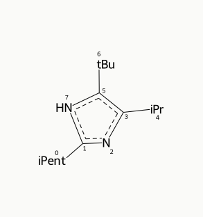 CCCC(C)c1nc(C(C)C)c(C(C)(C)C)[nH]1